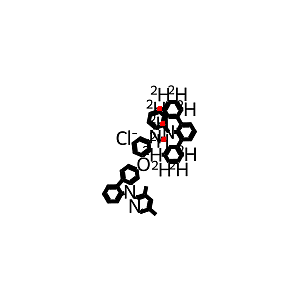 [2H]c1c([2H])c([2H])c(-c2cccc(-c3c([2H])c([2H])c([2H])c([2H])c3[2H])c2-[n+]2cn(-c3cccc(Oc4ccc5c6ccccc6n(-c6ncc(C)cc6C)c5c4)c3)c3ccccc32)c([2H])c1[2H].[Cl-]